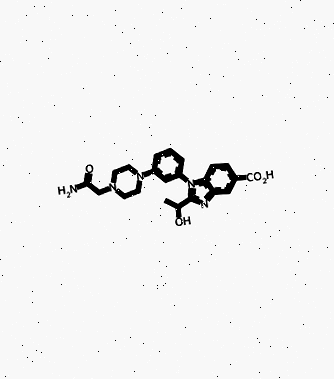 CC(O)c1nc2cc(C(=O)O)ccc2n1-c1cccc(N2CCN(CC(N)=O)CC2)c1